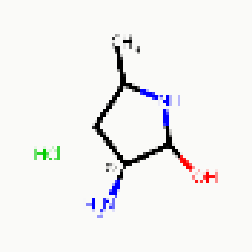 CC1C[C@H](N)C(O)N1.Cl